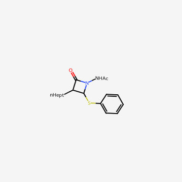 CCCCCCCC1C(=O)N(NC(C)=O)C1Sc1ccccc1